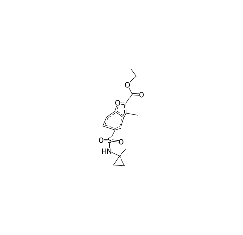 CCOC(=O)c1oc2ccc(S(=O)(=O)NC3(C)CC3)cc2c1C